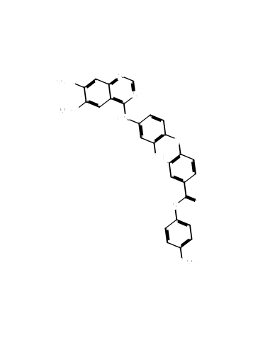 COc1ccc(NC(=O)c2ccc(Oc3ccc(Nc4ncnc5cc(OC)c(OC)cc45)cc3C)cc2)cc1